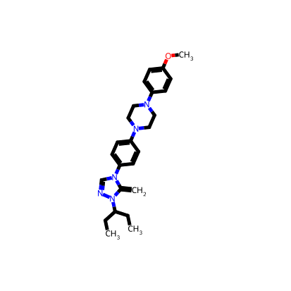 C=C1N(c2ccc(N3CCN(c4ccc(OC)cc4)CC3)cc2)C=NN1C(CC)CC